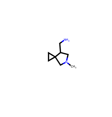 CN1CC(CN)C2(CC2)C1